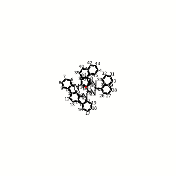 c1ccc(-n2c3ccccc3c3ccc4c5ccccc5n(-c5nc(-c6cccc7ccccc67)nc(-c6cccc7ccccc67)n5)c4c32)cc1